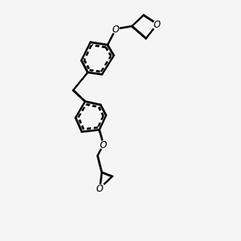 c1cc(OCC2CO2)ccc1Cc1ccc(OC2COC2)cc1